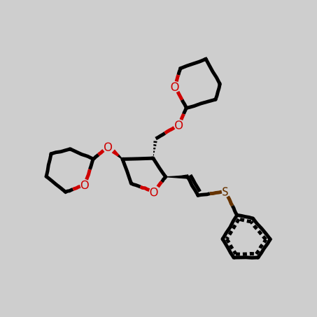 C(=C[C@H]1OC[C@@H](OC2CCCCO2)[C@@H]1COC1CCCCO1)Sc1ccccc1